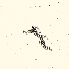 COCC(=O)CNCc1ccc(-c2ccc(C(=O)Nc3ccc(OC)c(N4CCN(C)CC4)c3)cc2)c(C)c1